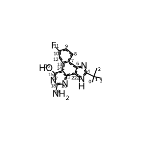 CC(C)(C)c1nc2c3ccc(F)cc3c3c(O)nc(N)nc3c2[nH]1